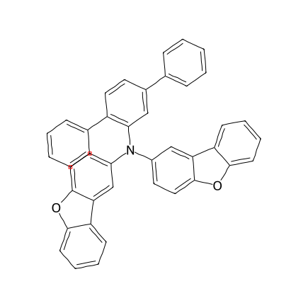 c1ccc(-c2ccc(-c3ccccc3)c(N(c3ccc4oc5ccccc5c4c3)c3ccc4oc5ccccc5c4c3)c2)cc1